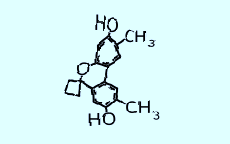 Cc1cc2c(cc1O)OC1(CCC1)c1cc(O)c(C)cc1-2